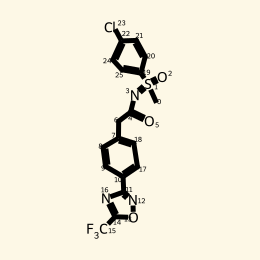 CS(=O)(=NC(=O)Cc1ccc(-c2noc(C(F)(F)F)n2)cc1)c1ccc(Cl)cc1